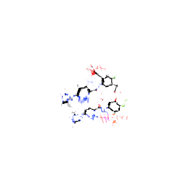 O=C(Nc1cc(CCOc2cc(NC(=O)c3ccc(-n4ccnc4)nn3)c(P(=O)(O)O)cc2F)c(F)cc1C(=O)O)c1ccc(-n2ccnc2)nn1